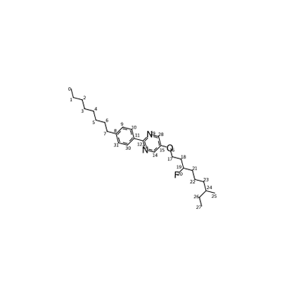 CCCCCCCCc1ccc(-c2ncc(OCCC(F)CCCC(C)CC)cn2)cc1